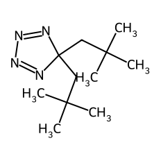 CC(C)(C)CC1(CC(C)(C)C)N=NN=N1